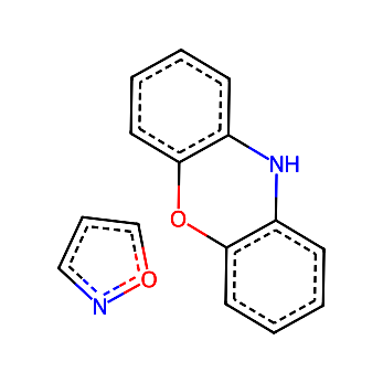 c1ccc2c(c1)Nc1ccccc1O2.c1cnoc1